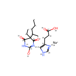 CCCC(C)C1(CC)C(=O)N=C([O-])NC1=O.O=C(O)CCc1c[nH]cn1.[Na+]